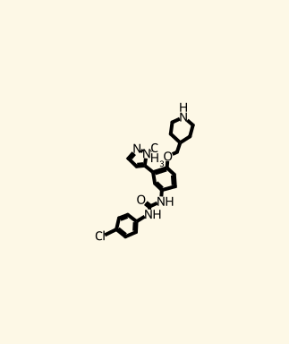 Cn1nccc1-c1cc(NC(=O)Nc2ccc(Cl)cc2)ccc1OCC1CCNCC1